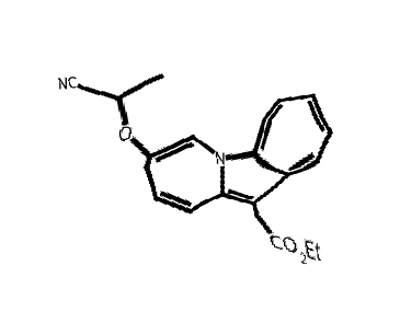 CCOC(=O)c1c2ccccc2n2cc(OC(C)C#N)ccc12